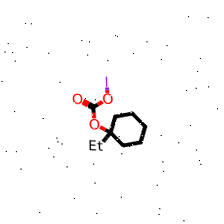 CCC1(OC(=O)OI)CCCCC1